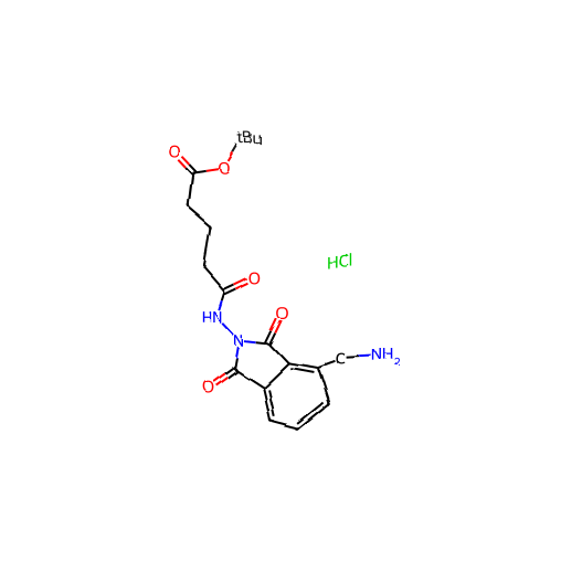 CC(C)(C)OC(=O)CCCC(=O)NN1C(=O)c2cccc(CN)c2C1=O.Cl